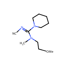 COCCN(C)C(=NC#N)N1C[CH]CCC1